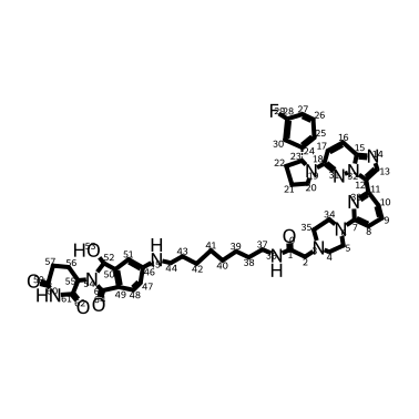 O=C(CN1CCN(c2cccc(-c3cnc4ccc(N5CCC[C@@H]5c5cccc(F)c5)nn34)n2)CC1)NCCCCCCCCNc1ccc2c(c1)C(O)N(C1CCC(=O)NC1=O)C2=O